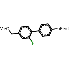 CCCCCc1ccc(-c2ccc(COC)cc2F)cc1